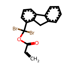 C=CC(=O)OC(Br)(Br)c1cccc2c1Cc1ccccc1-2